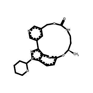 C[C@@H]1CCNC(=O)OCc2cncc(c2)-c2nn(C3CCCCO3)c3ccc(nc23)O1